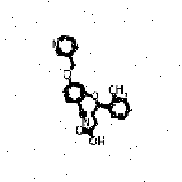 Cc1ccccc1C(CCC(=O)O)Oc1cc(OCc2cccnc2)ccc1C#N